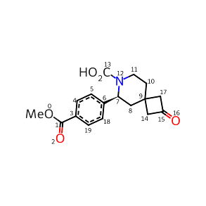 COC(=O)c1ccc([C@@H]2CC3(CCN2C(=O)O)CC(=O)C3)cc1